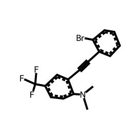 CN(C)c1ccc(C(F)(F)F)cc1C#Cc1ccccc1Br